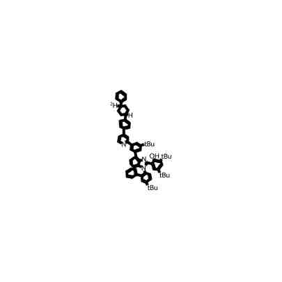 [2H]C1(c2ccccc2)CCC([2H])(c2ccc(-c3ccnc(-c4cc(-c5cccc6c5nc(-c5cc(C(C)(C)C)cc(C(C)(C)C)c5O)n6-c5ccc(C(C)(C)C)cc5-c5ccccc5)cc(C(C)(C)C)c4)c3)cc2)CC1